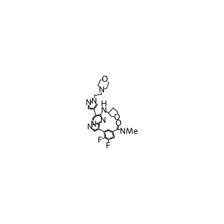 CNC(=O)c1cc(F)c(F)c(-c2cnn3cc(-c4cnn(CCN5CCOCC5)c4)c(NC4CCOC4)nc23)c1